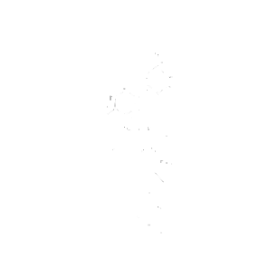 CCN(c1cc(-c2ccnc(NC)c2)c[nH]c1=O)[C@H]1CCN(C(=O)/C=C/CNC(C)C)C1